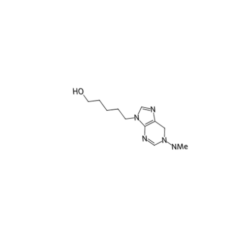 CNN1C=Nc2c(ncn2CCCCCO)C1